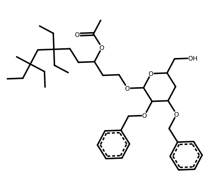 CCC(C)(CC)CC(CC)(CC)CCC(CCOC1OC(CO)CC(OCc2ccccc2)C1OCc1ccccc1)OC(C)=O